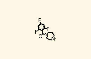 O=C(c1c(F)cc(F)cc1F)N1CCC[N]CC1